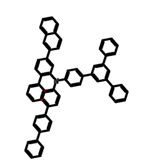 c1ccc(-c2ccc(-c3ccc(N(c4ccc(-c5cc(-c6ccccc6)cc(-c6ccccc6)c5)cc4)c4cc(-c5ccc6ccccc6c5)ccc4-c4ccccc4)cc3)cc2)cc1